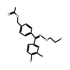 CC(=O)OCc1ccc(C(=NOCCF)c2ccc(F)c(F)c2)cc1